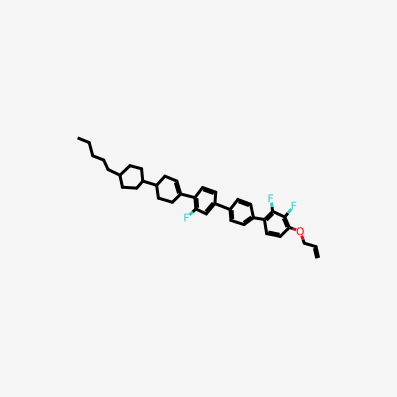 C=CCOc1ccc(-c2ccc(-c3ccc(C4=CCC(C5CCC(CCCCC)CC5)CC4)c(F)c3)cc2)c(F)c1F